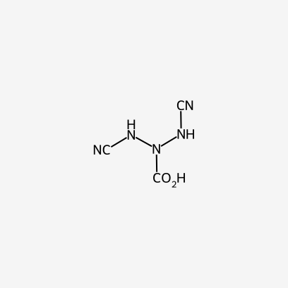 N#CNN(NC#N)C(=O)O